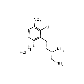 Cl.Cl.NCC(N)CCc1c(Cl)ccc([N+](=O)[O-])c1Cl